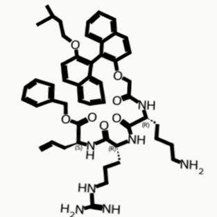 C=CC[C@H](NC(=O)[C@@H](CCCNC(=N)N)NC(=O)[C@@H](CCCCN)NC(=O)COc1ccc2ccccc2c1-c1c(OCCC(C)C)ccc2ccccc12)C(=O)OCc1ccccc1